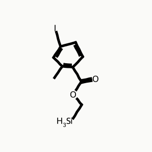 Cc1cc(I)ccc1C(=O)OC[SiH3]